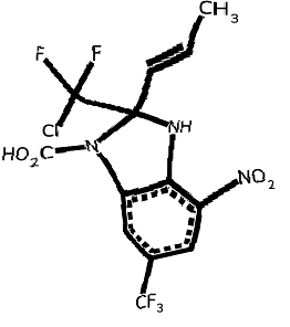 CC=CC1(C(F)(F)Cl)Nc2c(cc(C(F)(F)F)cc2[N+](=O)[O-])N1C(=O)O